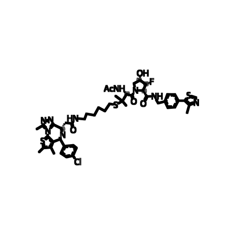 CC(=O)N[C@H](C(=O)N1C[C@H](O)[C@H](F)[C@H]1C(=O)NCc1ccc(-c2scnc2C)cc1)C(C)(C)SCCCCCCNC(=O)C[C@@H]1N=C(c2ccc(Cl)cc2)c2c(sc(C)c2C)-n2c(C)nnc21